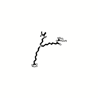 C=C(NCCCN(CCCCCCCC(=O)OCCCCCCCC)CCCCCCCC(=O)OC(CCCCCCCC)CCCCCCCC)N(C)C